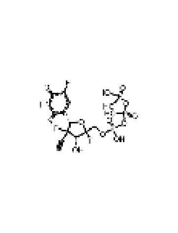 C#CC1(F)[C@@H](O)[C@@](F)(COP(=O)(O)OP(=O)(O)OP(=O)(O)O)O[C@H]1n1cc(F)c(=O)[nH]c1=S